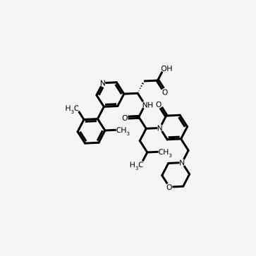 Cc1cccc(C)c1-c1cncc([C@H](CC(=O)O)NC(=O)C(CC(C)C)n2cc(CN3CCOCC3)ccc2=O)c1